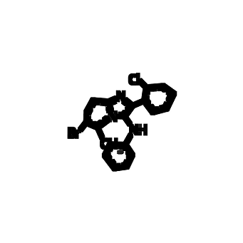 Cc1c(Br)ccc2nc(-c3ccccc3Cl)c(Nc3ccccc3)n12